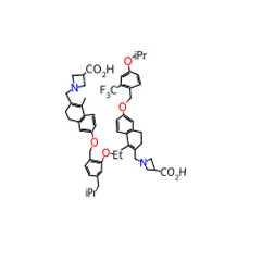 CC1=C(CN2CC(C(=O)O)C2)CCc2cc(OCc3ccc(OC(C)C)cc3C(F)(F)F)ccc21.CCOc1cc(CC(C)C)ccc1COc1ccc2c(c1)CCC(CN1CC(C(=O)O)C1)=C2C